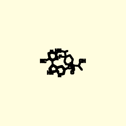 CC(O)C(=O)N1CCC(F)(C(C)Nc2ncc(C#N)c(-c3c[nH]c4ncc(C(F)(F)F)cc34)n2)CC1